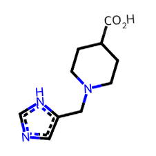 O=C(O)C1CCN(Cc2cnc[nH]2)CC1